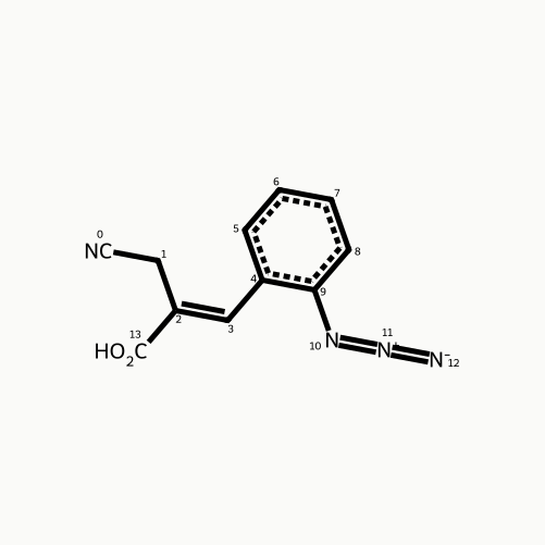 N#CCC(=Cc1ccccc1N=[N+]=[N-])C(=O)O